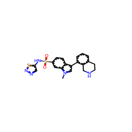 Cn1cc(-c2cccc3c2CNCC3)c2ccc(S(=O)(=O)Nc3cnns3)cc21